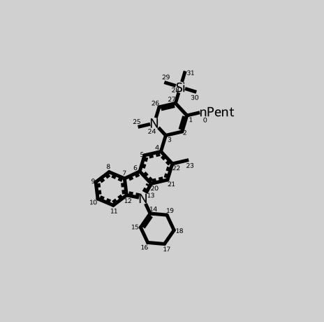 CCCCCC1=CC(c2cc3c4ccccc4n(C4=CCCCC4)c3cc2C)N(C)C=C1[Si](C)(C)C